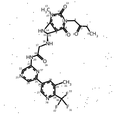 CCC(=O)Cn1c(=O)c2c(n(C)c1=O)N[C@@H]2NCC(=O)Nc1cncc(-c2cnc(C(F)(F)F)c(C)c2)n1